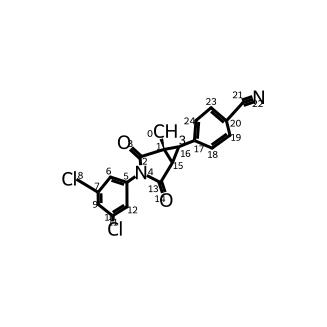 C[C@]12C(=O)N(c3cc(Cl)cc(Cl)c3)C(=O)C1C2c1ccc(C#N)cc1